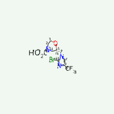 O=C(O)N1CCO[C@H](Cn2cc(C(F)(F)F)nc2Br)C1